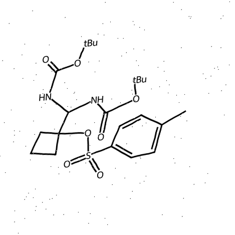 Cc1ccc(S(=O)(=O)OC2(C(NC(=O)OC(C)(C)C)NC(=O)OC(C)(C)C)CCC2)cc1